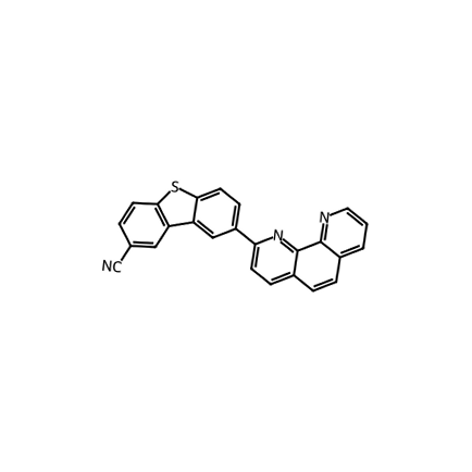 N#Cc1ccc2sc3ccc(-c4ccc5ccc6cccnc6c5n4)cc3c2c1